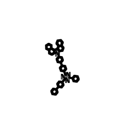 c1ccc(-c2ccc(-c3nc(-c4ccccc4)nc(-c4ccc(-c5ccc(-n6c7ccc8ccccc8c7c7c8ccccc8ccc76)cc5)cc4)n3)cc2)cc1